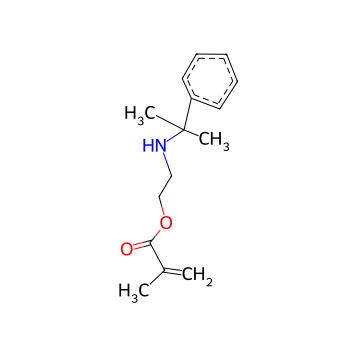 C=C(C)C(=O)OCCNC(C)(C)c1ccccc1